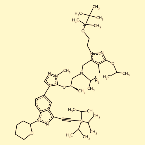 CC(C)Oc1nn(CCO[Si](C)(C)C(C)(C)C)c(CN(C[C@@H](C)Oc2c(-c3ccc4c(c3)c(C#C[Si](C(C)C)(C(C)C)C(C)C)nn4C3CCCCO3)cnn2C)C(C)C)c1I